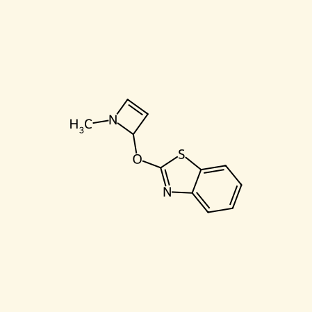 CN1C=CC1Oc1nc2ccccc2s1